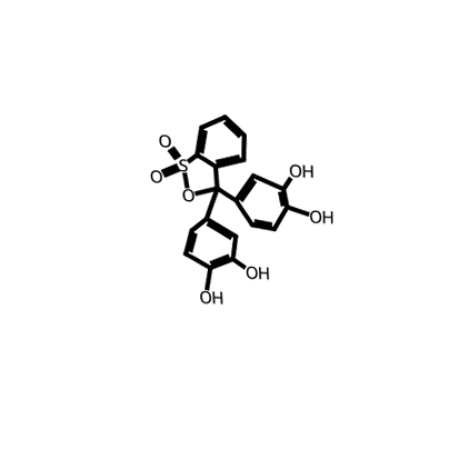 O=S1(=O)OC(c2ccc(O)c(O)c2)(c2ccc(O)c(O)c2)c2ccccc21